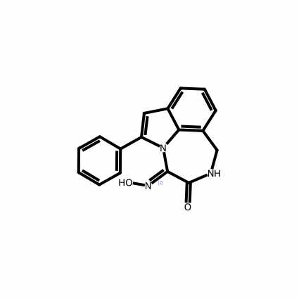 O=C1NCc2cccc3cc(-c4ccccc4)n(c23)/C1=N\O